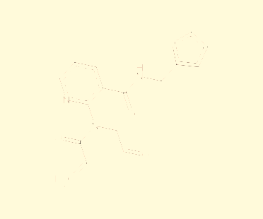 C=CC(=O)N(C[C]=O)c1ncccc1C(=O)NCc1ccco1